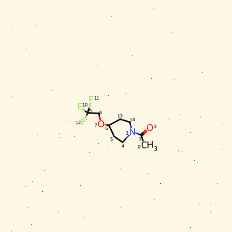 CC(=O)N1CCC(OCC(F)(F)F)CC1